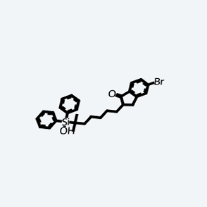 CC(C)(CCCCCC1Cc2cc(Br)ccc2C1=O)[Si](O)(c1ccccc1)c1ccccc1